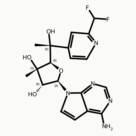 C[C@]1(O)[C@@H](O)[C@H](n2ccc3c(N)ncnc32)O[C@@H]1[C@](C)(O)c1ccnc(C(F)F)c1